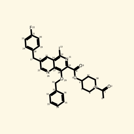 CC(=O)N1CCC(OC(=O)c2nc(I)c3cc(Cc4ccc(F)cc4)cnc3c2OCc2ccccc2)CC1